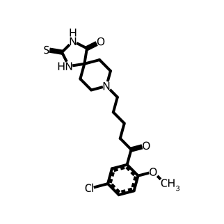 COc1ccc(Cl)cc1C(=O)CCCCN1CCC2(CC1)NC(=S)NC2=O